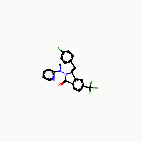 CN(c1ccccn1)N1C(=O)c2ccc(C(F)(F)F)cc2/C1=C/c1ccc(F)cc1